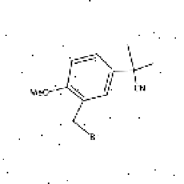 COc1ccc(C(C)(C)C#N)cc1CBr